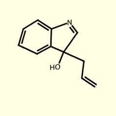 C=CCC1(O)C=Nc2ccccc21